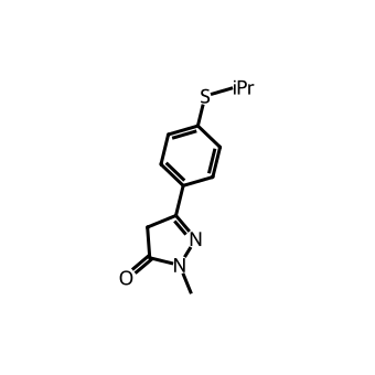 CC(C)Sc1ccc(C2=NN(C)C(=O)C2)cc1